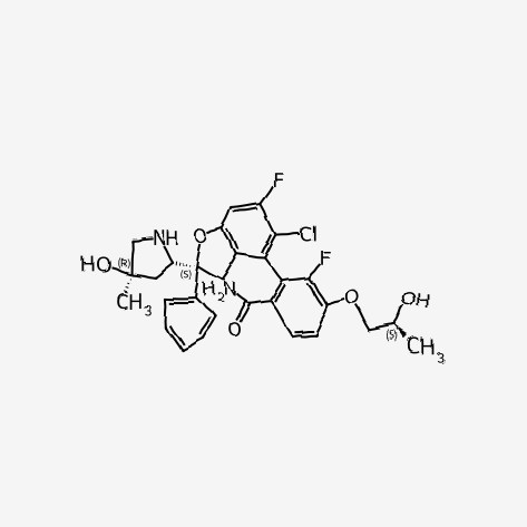 C[C@H](O)COc1ccc(C(N)=O)c(-c2c(Cl)c(F)cc3c2C[C@](c2ccccc2)(C2C[C@@](C)(O)CN2)O3)c1F